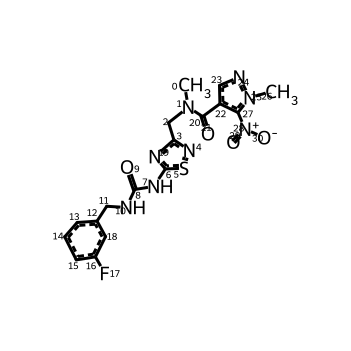 CN(Cc1nsc(NC(=O)NCc2cccc(F)c2)n1)C(=O)c1cnn(C)c1[N+](=O)[O-]